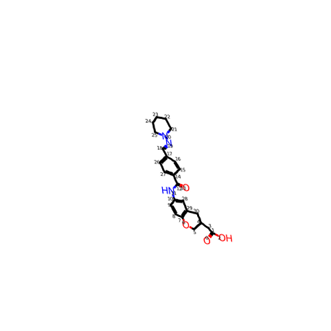 O=C(O)CC1COc2ccc(NC(=O)c3ccc(C=NN4CCCCC4)cc3)cc2C1